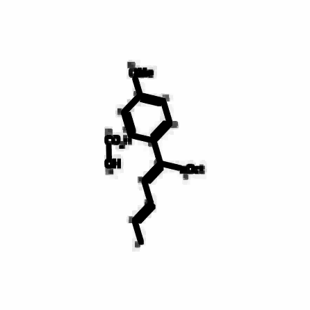 C/C=C/C=C(\CCCCCCCC)c1ccc(OC)cc1.O=C(O)O